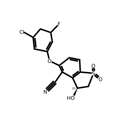 N#Cc1c(OC2=CC(F)CC(Cl)=C2)ccc2c1[C@H](O)CS2(=O)=O